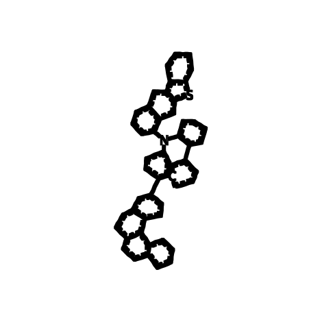 c1ccc(-c2ccccc2N(c2ccc(-c3ccc4c(ccc5ccc6ccccc6c54)c3)cc2)c2cccc3cc4c(cc23)sc2ccccc24)cc1